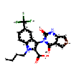 CCCCn1c(C(=O)O)c(-n2c(=O)[nH]c3cscc3c2=O)c2cc(C(F)(F)F)ccc21